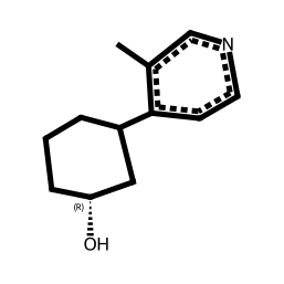 Cc1cnccc1C1CCC[C@@H](O)C1